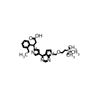 CCc1ccccc1C(CC(=O)O)n1cc(-c2ncnc3c2ccn3COCC[Si](C)(C)C)cn1